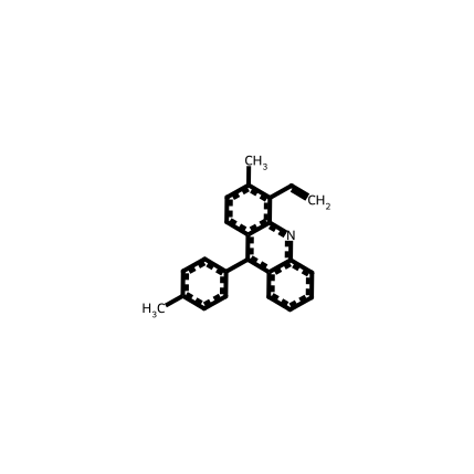 C=Cc1c(C)ccc2c(-c3ccc(C)cc3)c3ccccc3nc12